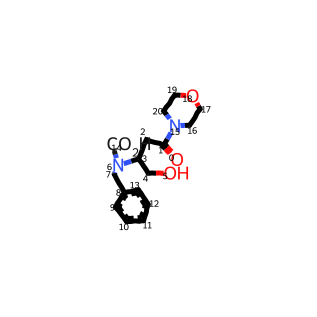 O=C(CC(CO)N(Cc1ccccc1)C(=O)O)N1CCOCC1